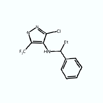 CCC(NC1=C(C(F)(F)F)[N]N=C1Cl)c1ccccc1